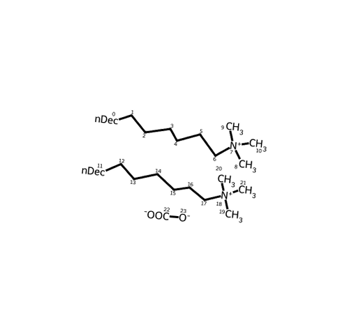 CCCCCCCCCCCCCCCC[N+](C)(C)C.CCCCCCCCCCCCCCCC[N+](C)(C)C.O=C([O-])[O-]